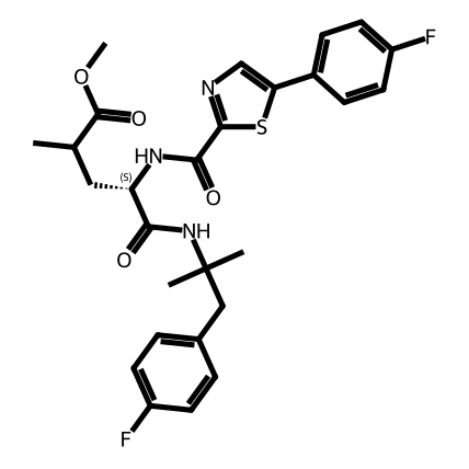 COC(=O)C(C)C[C@H](NC(=O)c1ncc(-c2ccc(F)cc2)s1)C(=O)NC(C)(C)Cc1ccc(F)cc1